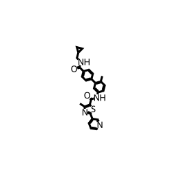 Cc1ccc(NC(=O)c2sc(-c3cccnc3)nc2C)cc1-c1ccc(C(=O)NCC2CC2)cc1